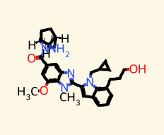 COc1cc(C(=O)N2C[C@H]3CC[C@@H]2[C@@H]3N)cc2nc(-c3cc4cccc(CCCO)c4n3CC3CC3)n(C)c12